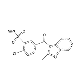 CNS(=O)(=O)c1cc(C(=O)c2c(C)oc3ccccc23)ccc1Cl